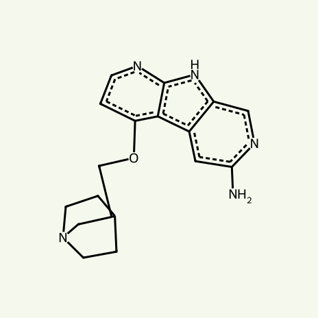 Nc1cc2c(cn1)[nH]c1nccc(OCC3CN4CCC3CC4)c12